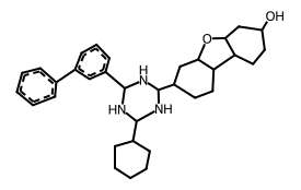 OC1CCC2C(C1)OC1CC(C3NC(c4cccc(-c5ccccc5)c4)NC(C4CCCCC4)N3)CCC12